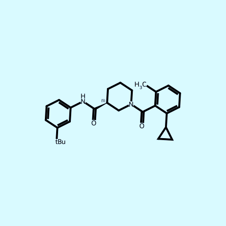 Cc1cccc(C2CC2)c1C(=O)N1CCC[C@H](C(=O)Nc2cccc(C(C)(C)C)c2)C1